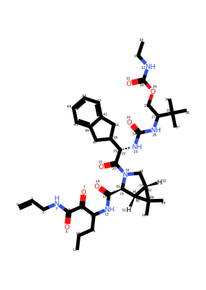 C=CCNC(=O)C(=O)C(CCC)NC(=O)[C@@H]1[C@@H]2[C@H](CN1C(=O)[C@@H](NC(=O)NC(COC(=O)NCC)C(C)(C)C)C1Cc3ccccc3C1)C2(C)C